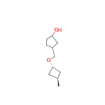 C[C@H]1C[C@H](OCC2CCC(O)C2)C1